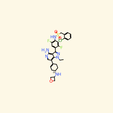 CCn1nc(-c2cc(F)c(NS(=O)(=O)Cc3ccccc3Cl)cc2F)c2c(N)ncc(C3=CC[C@@H](NC4COC4)CC3)c21